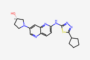 O[C@H]1CCN(c2cnc3ccc(Nc4nnc(C5CCCC5)s4)nc3c2)C1